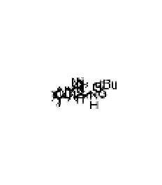 Cc1cccnc1CN(CCCCNC(=O)OC(C)(C)C)C(C)c1ncc[nH]1